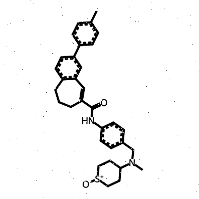 Cc1ccc(-c2ccc3c(c2)C=C(C(=O)Nc2ccc(CN(C)C4CC[S+]([O-])CC4)cc2)CCC3)cc1